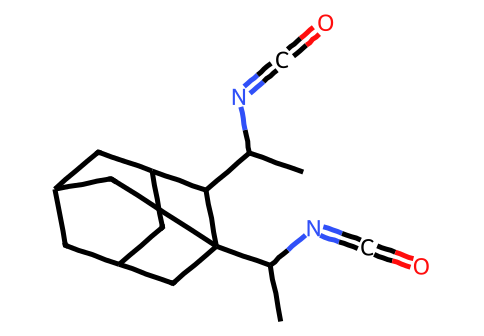 CC(N=C=O)C1C2CC3CC(C2)CC1(C(C)N=C=O)C3